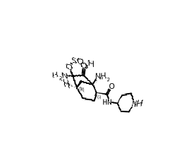 NC12C[C@@H](CC[C@@H]1C(=O)NC1CCNCC1)C(N)(OS(=O)(=O)O)C2=O